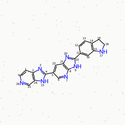 c1cc2nc(-c3cnc4[nH]c(-c5ccc6c(c5)NCC6)nc4c3)[nH]c2cn1